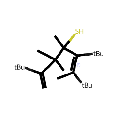 C=C(C(C)(C)C)C(C)(C)C(C)(S)/C(=C(\C)C(C)(C)C)C(C)(C)C